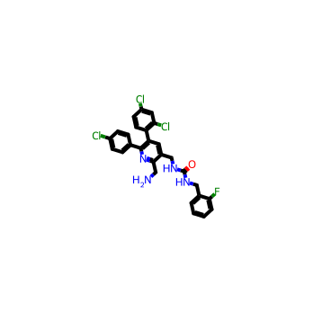 NCc1nc(-c2ccc(Cl)cc2)c(-c2ccc(Cl)cc2Cl)cc1CNC(=O)NCc1ccccc1F